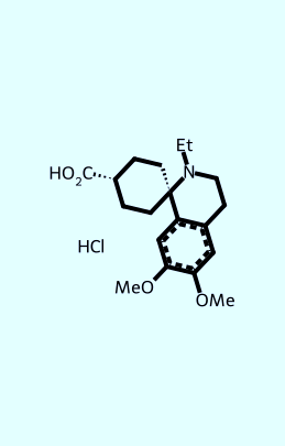 CCN1CCc2cc(OC)c(OC)cc2[C@]12CC[C@@H](C(=O)O)CC2.Cl